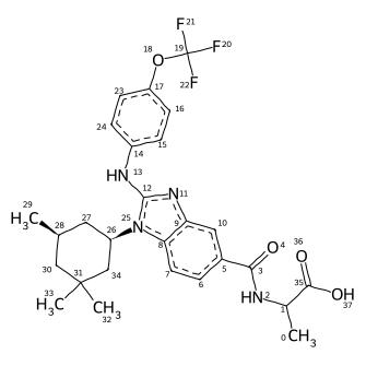 CC(NC(=O)c1ccc2c(c1)nc(Nc1ccc(OC(F)(F)F)cc1)n2[C@@H]1C[C@H](C)CC(C)(C)C1)C(=O)O